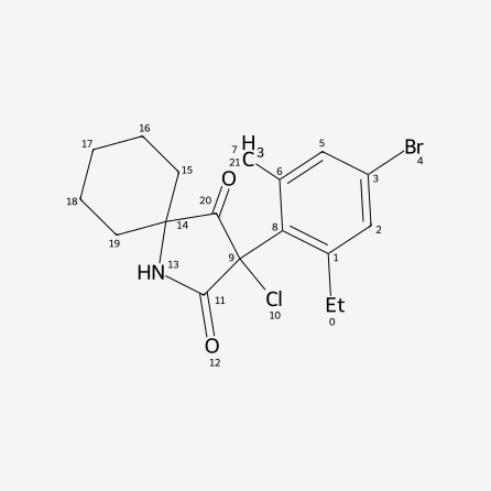 CCc1cc(Br)cc(C)c1C1(Cl)C(=O)NC2(CCCCC2)C1=O